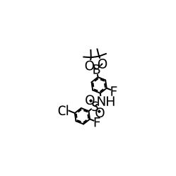 CC1(C)OB(c2ccc(NS(=O)(=O)c3cc(Cl)ccc3F)c(F)c2)OC1(C)C